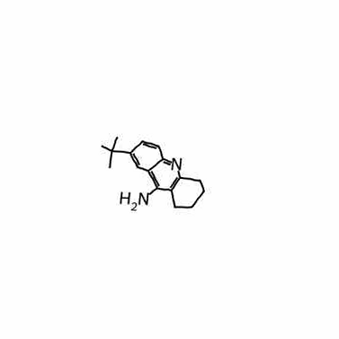 CC(C)(C)c1ccc2nc3c(c(N)c2c1)CCCC3